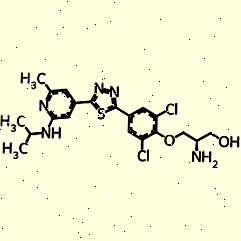 Cc1cc(-c2nnc(-c3cc(Cl)c(OC[C@H](N)CO)c(Cl)c3)s2)cc(NC(C)C)n1